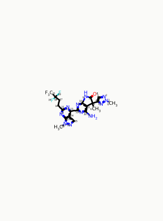 Cn1ncc(C2(C)C(=O)Nc3nc(-c4nc(CCC(F)(F)C(F)(F)F)nc5c4cnn5C)nc(N)c32)n1